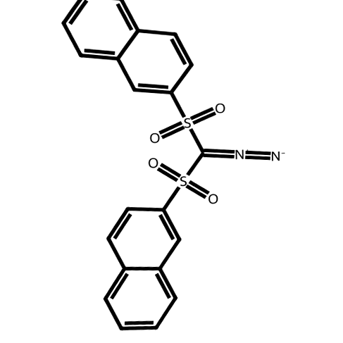 [N-]=[N+]=C(S(=O)(=O)c1ccc2ccccc2c1)S(=O)(=O)c1ccc2ccccc2c1